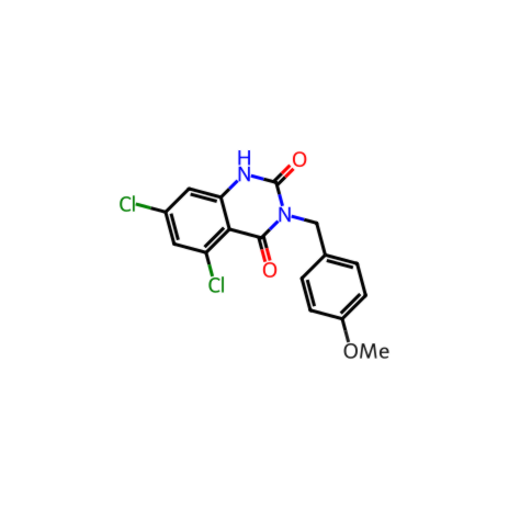 COc1ccc(Cn2c(=O)[nH]c3cc(Cl)cc(Cl)c3c2=O)cc1